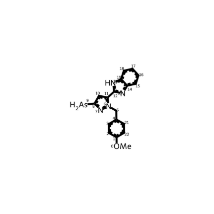 COc1ccc(Cn2nc([AsH2])cc2-c2nc3ccccc3[nH]2)cc1